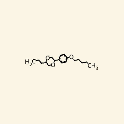 CCCCCOc1ccc(C2COC(CCC)CO2)cc1